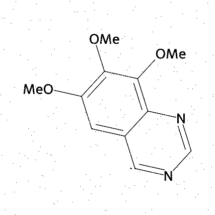 COc1cc2[c]ncnc2c(OC)c1OC